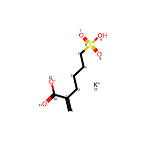 C=C(CCCCS(=O)(=O)O)C(=O)[O-].[K+]